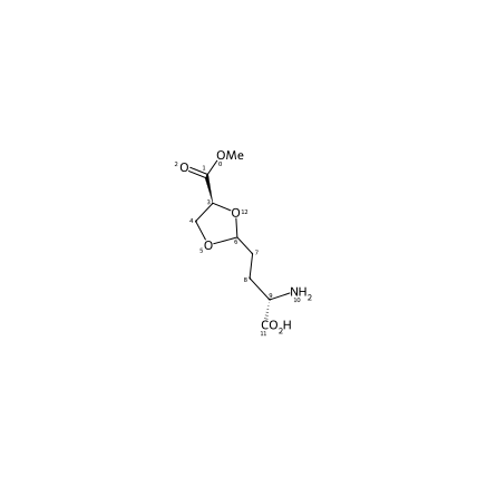 COC(=O)[C@@H]1COC(CC[C@H](N)C(=O)O)O1